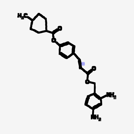 CC1CCC(C(=O)Oc2ccc(/C=C/C(=O)OCc3ccc(N)cc3N)cc2)CC1